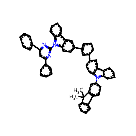 CC1(C)c2ccccc2-c2ccc(-n3c4ccccc4c4cc(-c5cccc(-c6ccc7c(c6)c6ccccc6n7-c6nc(-c7ccccc7)cc(-c7ccccc7)n6)c5)ccc43)cc21